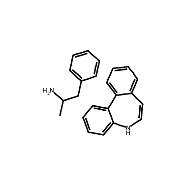 C1=Cc2ccccc2-c2ccccc2N1.CC(N)Cc1ccccc1